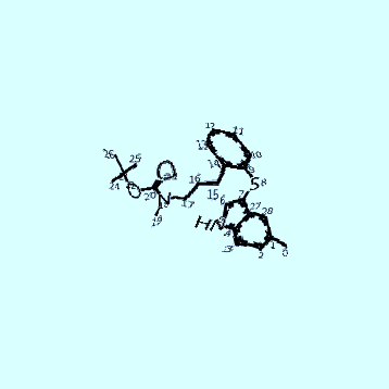 Cc1ccc2[nH]cc(Sc3ccccc3CCCN(C)C(=O)OC(C)(C)C)c2c1